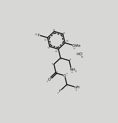 CCCC(F)OC(=O)CC(CN)c1cc(F)ccc1OC.Cl